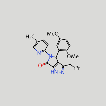 COc1ccc(OC)c(C2c3c(CC(C)C)n[nH]c3C(=O)N2c2ccc(C)cn2)c1